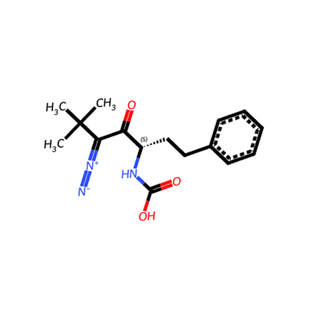 CC(C)(C)C(=[N+]=[N-])C(=O)[C@H](CCc1ccccc1)NC(=O)O